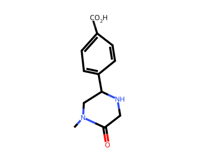 CN1CC(c2ccc(C(=O)O)cc2)NCC1=O